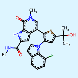 CCNC(=O)c1cc2c(-c3sc(C(C)(C)O)cc3-n3ccc4cccc(F)c43)cn(C)c(=O)c2[nH]1